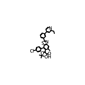 CCc1cc(-c2cccc(-c3nc4cc(C)c([C@H](OC(C)(C)C)C(=O)O)c(-c5ccc(Cl)cc5)c4s3)c2)ccn1